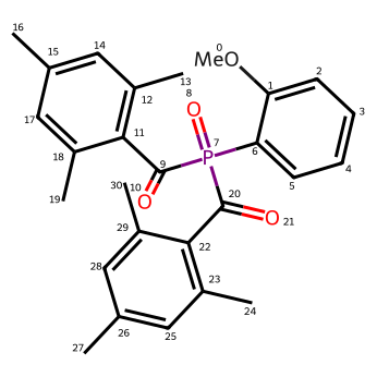 COc1ccccc1P(=O)(C(=O)c1c(C)cc(C)cc1C)C(=O)c1c(C)cc(C)cc1C